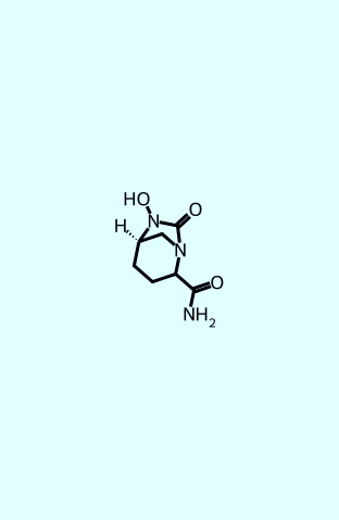 NC(=O)C1CC[C@@H]2CN1C(=O)N2O